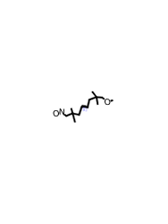 COCC(C)(C)C/C=C/CC(C)(C)CN=O